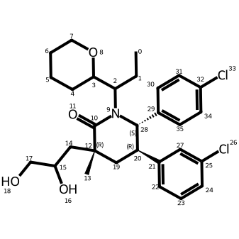 CCC(C1CCCCO1)N1C(=O)[C@@](C)(CC(O)CO)C[C@H](c2cccc(Cl)c2)[C@H]1c1ccc(Cl)cc1